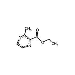 CCOC(=O)c1nccnc1C